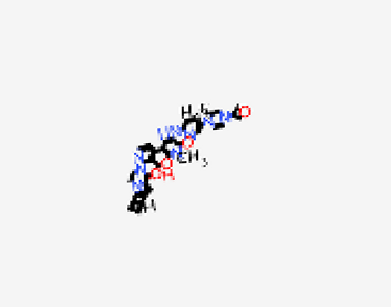 C[C@H]1CN(C2COC2)CCN1c1ccc(Nc2cc(-c3ccnc(N4CCn5c(cc6c5C5CC[C@H]65)C4=O)c3CO)cn(C)c2=O)nc1